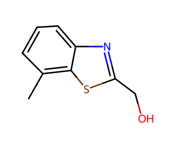 Cc1cccc2nc(CO)sc12